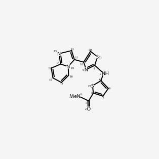 CNC(=O)c1ccc(Nc2nc(-c3cnc4ccccn34)cs2)s1